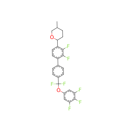 CC1CCC(c2ccc(-c3ccc(C(F)(F)Oc4cc(F)c(F)c(F)c4)cc3)c(F)c2F)OC1